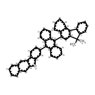 CC1(C)c2ccccc2-c2c1cc(-c1c3ccccc3c(-c3ccc4c(c3)oc3cc5ccccc5cc34)c3ccccc13)c1ccccc21